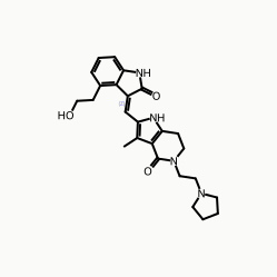 Cc1c(/C=C2\C(=O)Nc3cccc(CCO)c32)[nH]c2c1C(=O)N(CCN1CCCC1)CC2